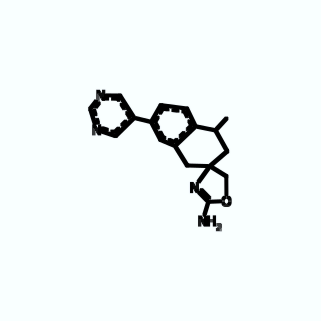 CC1CC2(COC(N)=N2)Cc2cc(-c3cncnc3)ccc21